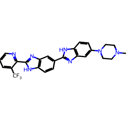 CN1CCN(c2ccc3[nH]c(-c4ccc5[nH]c(-c6ncccc6C(F)(F)F)nc5c4)nc3c2)CC1